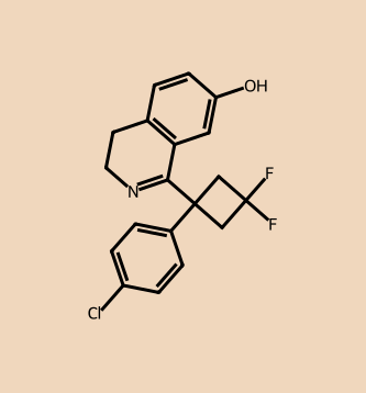 Oc1ccc2c(c1)C(C1(c3ccc(Cl)cc3)CC(F)(F)C1)=NCC2